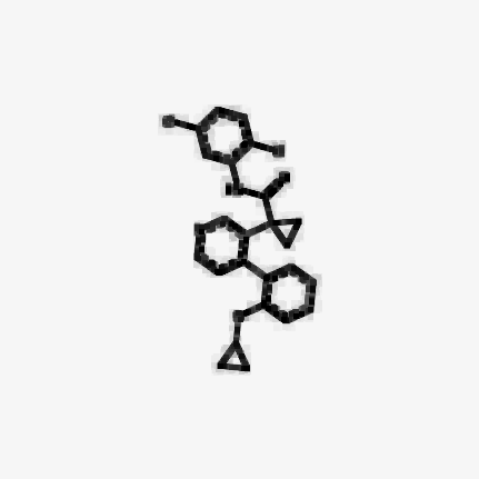 O=C(Nc1cc(Cl)ccc1Cl)C1(c2cnccc2-c2ccccc2OC2CC2)CC1